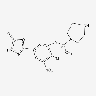 C[C@H](Nc1cc(-c2n[nH]c(=O)o2)cc([N+](=O)[O-])c1Cl)C1CCNCC1